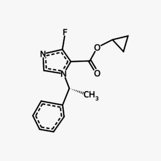 C[C@H](c1ccccc1)n1cnc(F)c1C(=O)OC1CC1